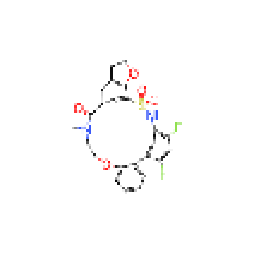 CN1CCOc2ccccc2-c2cc(c(F)cc2F)NS(=O)(=O)c2cc(cc3c2OCC3)C1=O